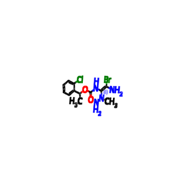 CC(OC(=O)N/C(=C(/N)Br)N(C)N)c1ccccc1Cl